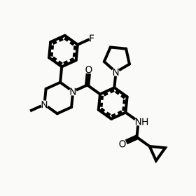 CN1CCN(C(=O)c2ccc(NC(=O)C3CC3)cc2N2CCCC2)C(c2cccc(F)c2)C1